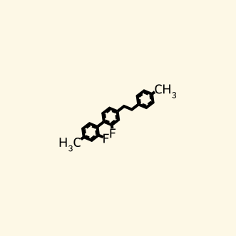 Cc1ccc(CCc2ccc(-c3ccc(C)cc3F)c(F)c2)cc1